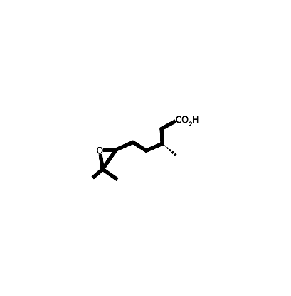 C[C@H](CCC1OC1(C)C)CC(=O)O